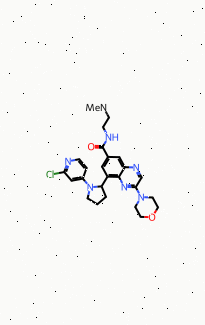 CNCCNC(=O)c1cc(C2CCCN2c2ccnc(Cl)c2)c2nc(N3CCOCC3)cnc2c1